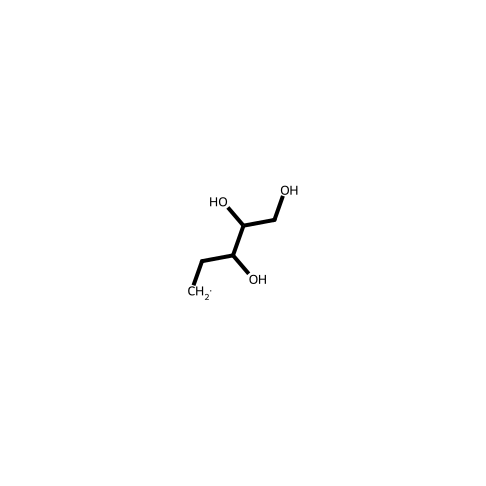 [CH2]CC(O)C(O)CO